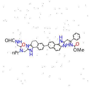 CCCN(Cc1nc2c([nH]1)-c1ccc(-c3ccc4c(ccc5nc(C[C@H](NC(=O)OC)c6ccccc6)[nH]c54)c3)cc1CC2)C(=O)CNC=O